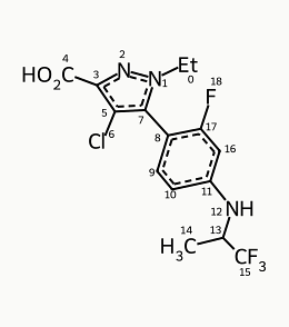 CCn1nc(C(=O)O)c(Cl)c1-c1ccc(NC(C)C(F)(F)F)cc1F